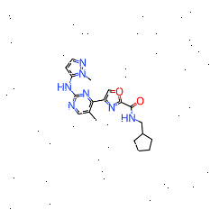 Cc1cnc(Nc2ccnn2C)nc1-c1coc(C(=O)NCC2CCCC2)n1